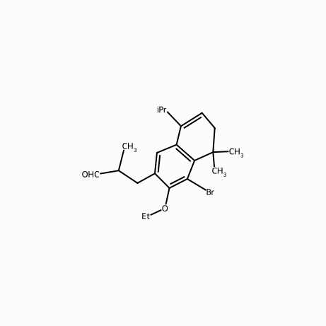 CCOc1c(CC(C)C=O)cc2c(c1Br)C(C)(C)CC=C2C(C)C